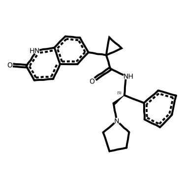 O=C(N[C@H](CN1CCCC1)c1ccccc1)C1(c2ccc3[nH]c(=O)ccc3c2)CC1